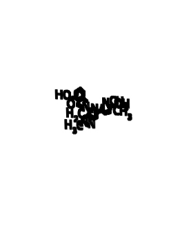 C=C1c2c(cc(-c3ccc(C(C)(C)O)nc3)nc2N2CCc3c(cccc3C(=O)O)C2)N=CN1C